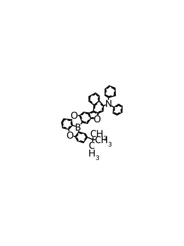 CC(C)(C)c1ccc2c(c1)B1c3cc4oc5cc(N(c6ccccc6)c6ccccc6)c6ccccc6c5c4cc3Oc3cccc(c31)O2